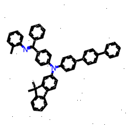 Cc1ccccc1N=C(c1ccccc1)c1ccc(N(c2ccc(-c3ccc(-c4ccccc4)cc3)cc2)c2ccc3c(c2)C(C)(C)c2ccccc2-3)cc1